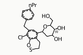 CCCc1ccc(Cc2cc(C3CC(O)[C@H](O)C(CO)O3)c3c(c2Cl)OSCC3)cc1